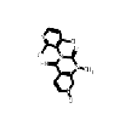 Cn1c2c(c(=N)n(-c3c(Cl)ccnc3Cl)c1=O)C=CN(Cl)C2